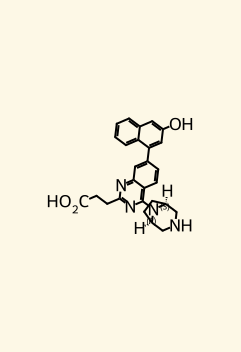 O=C(O)CCc1nc(N2[C@@H]3CC[C@H]2CNC3)c2ccc(-c3cc(O)cc4ccccc34)cc2n1